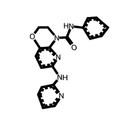 O=C(Nc1ccccc1)N1CCOc2ccc(Nc3ccccn3)nc21